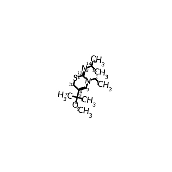 CCN1C=C(C(C)(C)OC)CS/C1=N/C(C)C